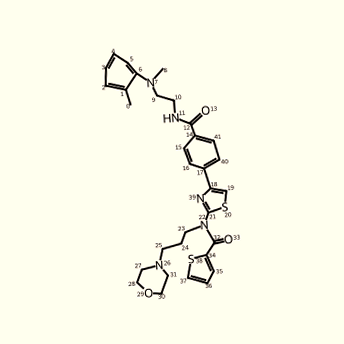 Cc1ccccc1N(C)CCNC(=O)c1ccc(-c2csc(N(CCCN3CCOCC3)C(=O)c3cccs3)n2)cc1